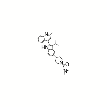 Cc1cc(-c2[nH]c3ccc(C4CCN(C(=O)CN(C)C)CC4)cc3c2C(C)C)c2ccccc2n1